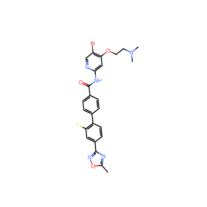 Cc1nc(-c2ccc(-c3ccc(C(=O)Nc4cc(OCCN(C)C)c(Br)cn4)cc3)c(F)c2)no1